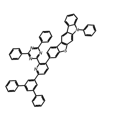 c1ccc(-c2cc(-c3ccccc3)cc(-c3ccc(-c4ccc5c(c4)sc4cc6c(cc45)c4ccccc4n6-c4ccccc4)c(-c4nc(-c5ccccc5)nc(-c5ccccc5)n4)n3)c2)cc1